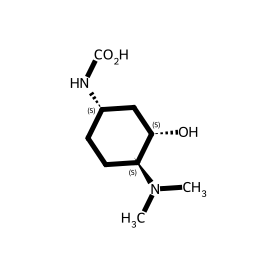 CN(C)[C@H]1CC[C@H](NC(=O)O)C[C@@H]1O